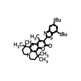 Cc1c(-c2nc3cc(C(C)(C)C)cc(C(C)(C)C)c3s2)c(=O)oc2c3c4c(cc12)C(C)(C)CCN4CCC3(C)C